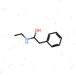 CCNC(O)Cc1ccccc1